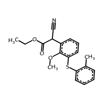 CCOC(=O)C(C#N)c1cccc(Sc2ccccc2C)c1OC